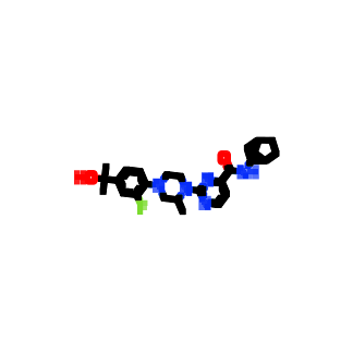 CC1CN(c2ccc(C(C)(C)O)cc2F)CCN1c1nccc(C(=O)NC2CC3CCC2C3)n1